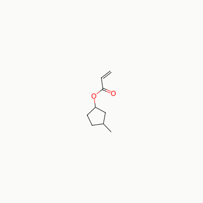 C=CC(=O)OC1CCC(C)C1